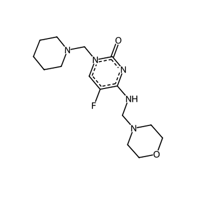 O=c1nc(NCN2CCOCC2)c(F)cn1CN1CCCCC1